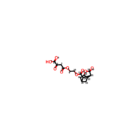 O=C(CC(=O)C(=O)O)OCCOC(=O)C1C2CC3OC(=O)C1C3C2